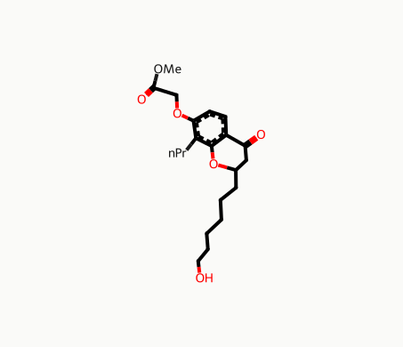 CCCc1c(OCC(=O)OC)ccc2c1OC(CCCCCCO)CC2=O